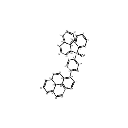 O=P(c1ccccc1)(c1ccc(-c2ccc3c4c2C=CC2C=CC=C(C=C3)C42)cc1)c1cccc2ccccc12